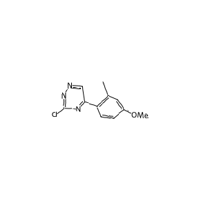 COc1ccc(-c2cnnc(Cl)n2)c(C)c1